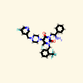 Cc1c(N2CCN(Cc3cncc(F)c3)CC2)c(=O)n(CC(N)c2ccccc2)c(=O)n1Cc1c(F)cccc1C(F)(F)F